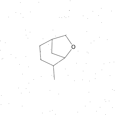 CC1CCC2COC1C2